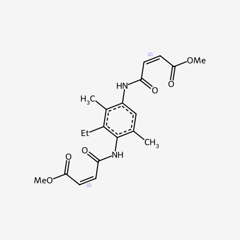 CCc1c(C)c(NC(=O)/C=C\C(=O)OC)cc(C)c1NC(=O)/C=C\C(=O)OC